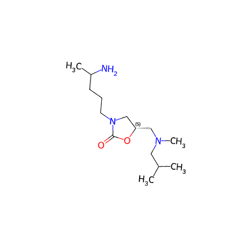 CC(C)CN(C)C[C@H]1CN(CCCC(C)N)C(=O)O1